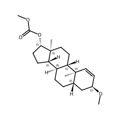 COC(=O)O[C@H]1CC[C@H]2[C@@H]3CC[C@H]4C[C@H](OC)C=C[C@]4(C)[C@H]3CC[C@]12C